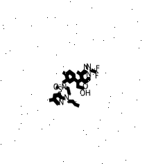 CCCCN1CCN(Cc2cc(C(CC(=O)O)c3ccn4c(C(F)F)nnc4c3C)ccc2C)[S+]([O-])c2cc(C)cnc21